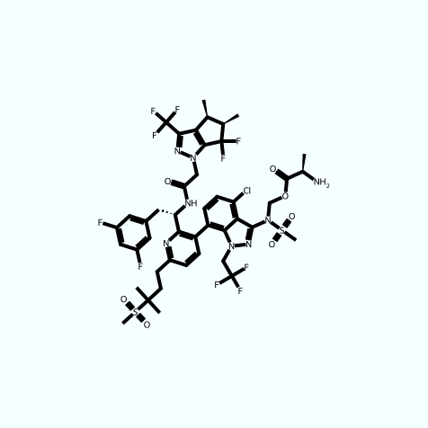 C[C@@H]1c2c(C(F)(F)F)nn(CC(=O)N[C@@H](Cc3cc(F)cc(F)c3)c3nc(CCC(C)(C)S(C)(=O)=O)ccc3-c3ccc(Cl)c4c(N(COC(=O)[C@@H](C)N)S(C)(=O)=O)nn(CC(F)(F)F)c34)c2C(F)(F)[C@@H]1C